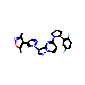 Cc1noc(C)c1-c1cnn(-c2cnn3ccc(N4CCC[C@H]4c4cc(F)ccc4F)nc23)c1